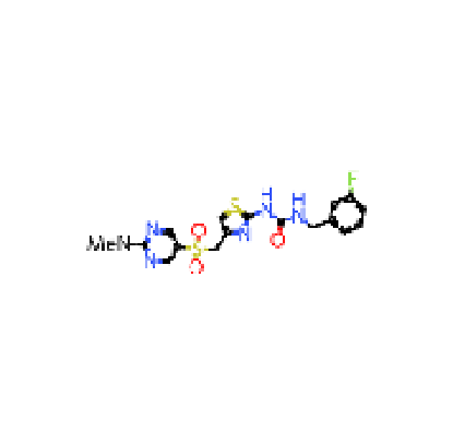 CNc1ncc(S(=O)(=O)Cc2csc(NC(=O)NCc3cccc(F)c3)n2)cn1